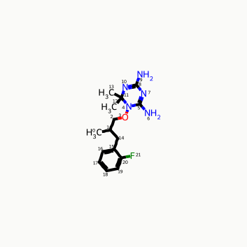 CC(CON1C(N)=NC(N)=NC1(C)C)Cc1ccccc1F